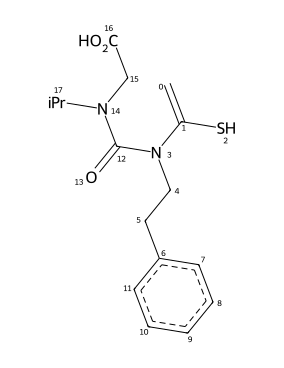 C=C(S)N(CCc1ccccc1)C(=O)N(CC(=O)O)C(C)C